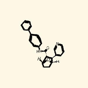 O=C(Nc1ccc(-c2ccccc2)cc1)[C@@H]1[C@@H](c2cccnc2)[C@@H]2CC[C@H]1O2